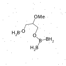 BOCC(COB(B)B)OC